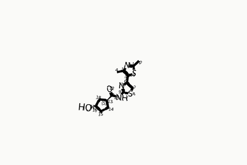 Cc1nc(C)c(-c2csc(NC(=O)[C@H]3CC[C@H](O)C3)n2)s1